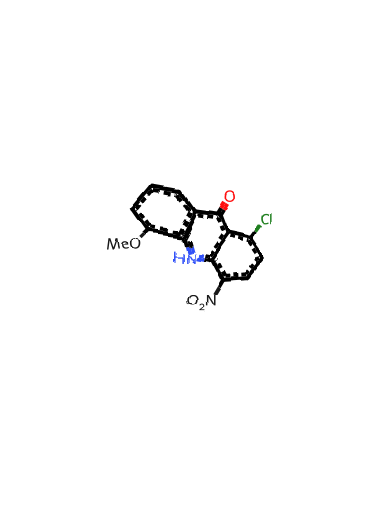 COc1cccc2c(=O)c3c(Cl)ccc([N+](=O)[O-])c3[nH]c12